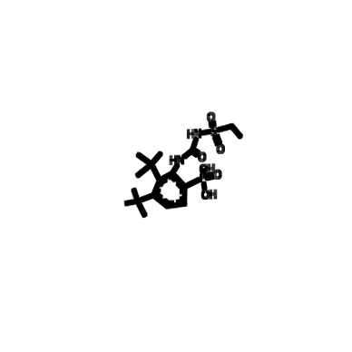 CCS(=O)(=O)NC(=O)Nc1c(P(=O)(O)O)ccc(C(C)(C)C)c1C(C)(C)C